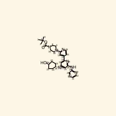 CC(C)(C)OC(=O)N1CCN(c2cc(-c3cc(N[C@H]4CC[C@H](O)CC4)cc(Nc4cnccn4)n3)ccn2)CC1